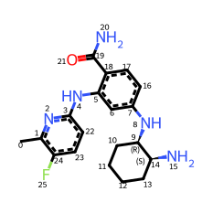 Cc1nc(Nc2cc(N[C@@H]3CCCC[C@@H]3N)ccc2C(N)=O)ccc1F